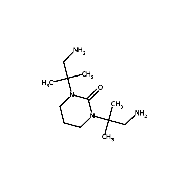 CC(C)(CN)N1CCCN(C(C)(C)CN)C1=O